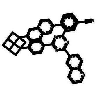 N#Cc1ccc(-c2ccc3cc(C45CC6CC7CC(c8ccc(-c9nc(-c%10ccccc%10)nc(-c%10ccc%11ncccc%11c%10)n9)cc8)(C4)C765)ccc3c2)cc1